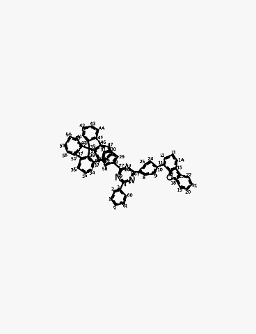 c1ccc(-c2nc(-c3ccc(-c4cccc5c4oc4ccccc45)cc3)nc(-c3cccc(-c4cccc5c4C4(c6ccccc6-c6ccccc64)c4ccccc4-5)c3)n2)cc1